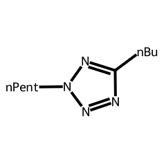 CCCCCn1nnc(CCCC)n1